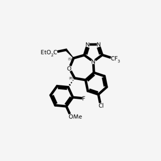 CCOC(=O)C[C@@H]1O[C@@H](c2cccc(OC)c2F)c2cc(Cl)ccc2-n2c1nnc2C(F)(F)F